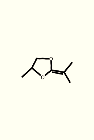 CC(C)=C1OCC(C)O1